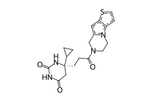 O=C1C[C@](CCC(=O)N2CCn3c(cc4sccc43)C2)(C2CC2)NC(=O)N1